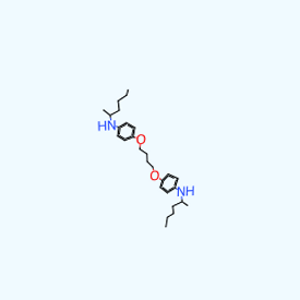 CCCCC(C)Nc1ccc(OCCCCOc2ccc(NC(C)CCCC)cc2)cc1